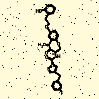 CN1C(=O)[C@@H](NC(=O)n2cc(Cc3cccc(F)c3)cn2)COc2ccc(OCCc3cccnc3O)cc21